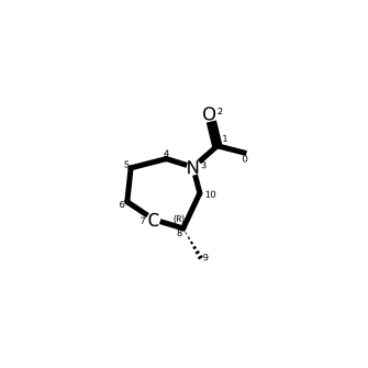 CC(=O)N1CCCC[C@@H](C)C1